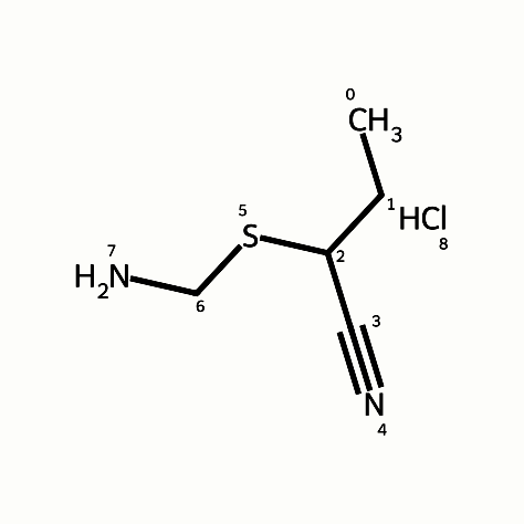 CCC(C#N)SCN.Cl